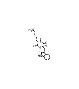 NCCCC[C@H]1NC(=O)[C@@H]2Cc3c([nH]c4ccccc34)CN2C1=O